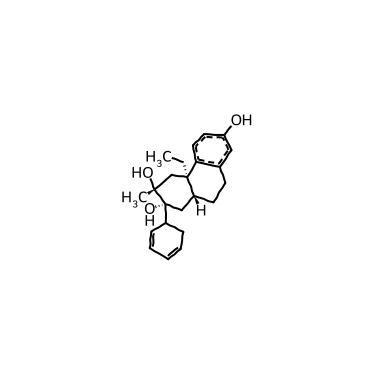 CC[C@@]12C[C@@](C)(O)[C@](O)(C3C=CC=CC3)C[C@H]1CCc1cc(O)ccc12